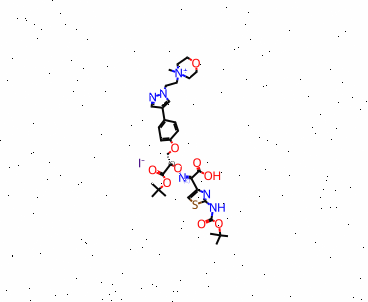 CC(C)(C)OC(=O)Nc1nc(/C(=N/O[C@@H](COc2ccc(-c3cnn(CC[N+]4(C)CCOCC4)c3)cc2)C(=O)OC(C)(C)C)C(=O)O)cs1.[I-]